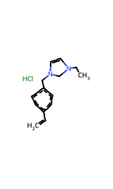 C=Cc1ccc(CN2C=CN(CC)C2)cc1.Cl